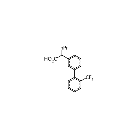 CCCC(C(=O)O)c1cccc(-c2ccccc2C(F)(F)F)c1